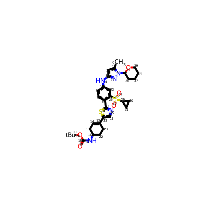 Cc1cc(Nc2ccc(-c3ncc(C4=CCC(NC(=O)OC(C)(C)C)CC4)s3)c(S(=O)(=O)C3CC3)c2)nn1C1CCCCO1